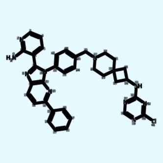 Nc1ncccc1-c1nc2ccc(-c3ccccc3)nc2n1-c1ccc(CN2CCC3(CC2)CC(Nc2ncnc(Cl)n2)C3)cc1